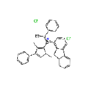 CC/[C](c1ccccc1)=[Zr+2](\[C]1=C(C)C(c2ccccc2)=CC1C)[c]1cccc2c1Cc1ccccc1-2.[Cl-].[Cl-]